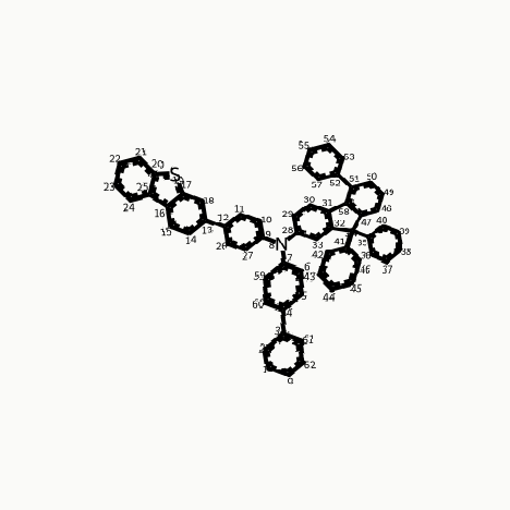 c1ccc(-c2ccc(N(c3ccc(-c4ccc5c(c4)sc4ccccc45)cc3)c3ccc4c(c3)C(c3ccccc3)(c3ccccc3)c3cccc(-c5ccccc5)c3-4)cc2)cc1